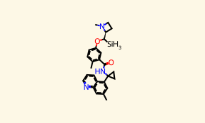 Cc1cc(C2(NC(=O)c3cc(OC([SiH3])[C@@H]4CCN4C)ccc3C)CC2)c2cccnc2c1